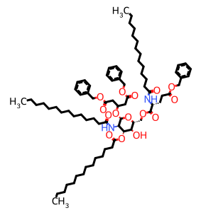 CCCCCCCCCCCCCC(=O)N[C@H]1[C@@H](OC(CC(=O)OCc2ccccc2)CC(=O)OCc2ccccc2)O[C@H](COC(=O)[C@@H](CCC(=O)OCc2ccccc2)NC(=O)CCCCCCCCCCCCC)[C@@H](O)[C@@H]1OC(=O)CCCCCCCCCCCCC